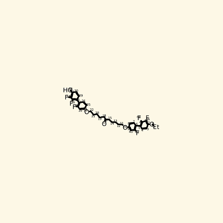 CCOc1ccc(-c2ccc(OCCCCCC(=O)CCCCCOc3ccc(-c4ccc(O)c(F)c4F)c(F)c3)cc2F)c(F)c1F